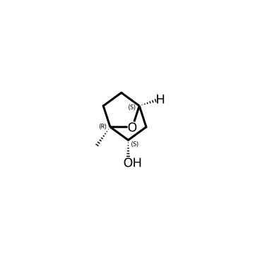 C[C@@]12CC[C@@H](C[C@@H]1O)O2